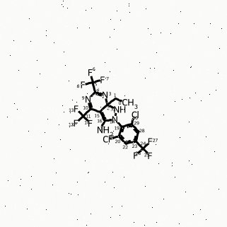 CCC12N=C(C(F)(F)F)N=C(C(F)(F)F)C1=C(N)N(c1c(Cl)cc(C(F)(F)F)cc1Cl)N2